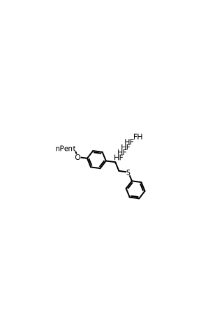 CCCCCOc1ccc(CCSc2ccccc2)cc1.F.F.F.F.F